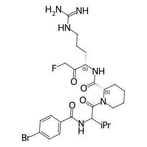 CC(C)C(NC(=O)c1ccc(Br)cc1)C(=O)N1CCCC[C@H]1C(=O)N[C@@H](CCCNC(=N)N)C(=O)CF